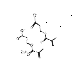 C=C(C)C(=O)OCCC(=O)[O-].C=C(C)C(=O)OCCC(=O)[O-].[Zn+2]